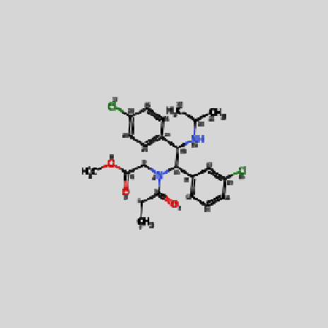 CCC(=O)N(CC(=O)OC)C(c1cccc(Cl)c1)C(NC(C)C)c1ccc(Cl)cc1